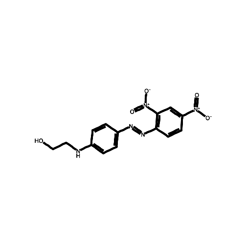 O=[N+]([O-])c1ccc(N=Nc2ccc(NCCO)cc2)c([N+](=O)[O-])c1